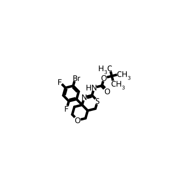 CC(C)(C)OC(=O)NC1=NC2(c3cc(Br)c(F)cc3F)CCOCC2CS1